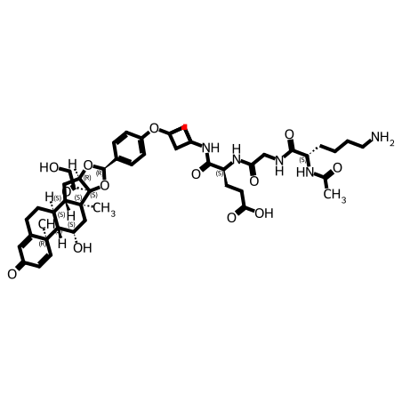 CC(=O)N[C@@H](CCCCN)C(=O)NCC(=O)N[C@@H](CCC(=O)O)C(=O)NC12CC(Oc3ccc([C@@H]4O[C@@H]5C[C@H]6[C@@H]7CCC8=CC(=O)C=C[C@]8(C)[C@H]7[C@@H](O)C[C@]6(C)[C@]5(C(=O)CO)O4)cc3)(C1)C2